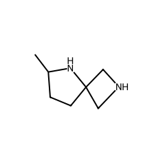 CC1CCC2(CNC2)N1